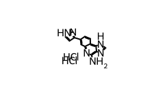 Cl.Cl.Nc1nc2cc(-c3cc[nH]n3)ccc2c2[nH]cnc12